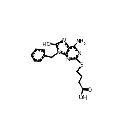 Nc1nc(SCCCC(=O)O)nc2c1nc(O)n2Cc1ccccc1